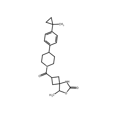 CC1OC(=O)NC12CC(C(=O)N1CCC(c3ccc(C4(C)CC4)cc3)CC1)C2